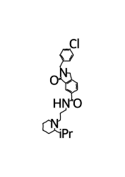 CC(C)C1CCCCN1CCCNC(=O)c1ccc2c(c1)C(=O)N(Cc1ccc(Cl)cc1)C2